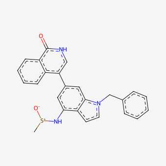 C[S+]([O-])Nc1cc(-c2c[nH]c(=O)c3ccccc23)cc2c1ccn2Cc1ccccc1